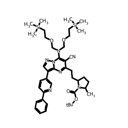 CC1CCC(CCc2nc3c(-c4ccc(-c5ccccc5)nc4)cnn3c(N(COCC[Si](C)(C)C)COCC[Si](C)(C)C)c2C#N)N1C(=O)OC(C)(C)C